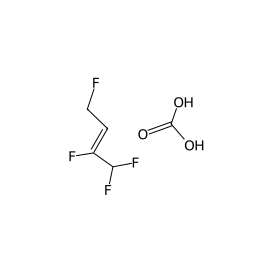 FCC=C(F)C(F)F.O=C(O)O